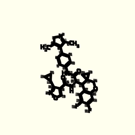 CC1=NCC(C)=C1c1ccc(NC(=O)[C@@H](NC(=O)c2conc2C2CC2)C2c3cc(F)c(F)cc3OCC23CC3)cc1